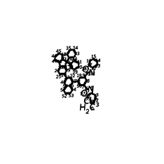 C=C/C=C\c1nc(-c2cc(-c3nc4ccccc4o3)cc(-c3cc(-c4ccc5c(c4)C(c4ccccc4)(c4ccccc4)c4ccccc4-5)cc4ccccc34)c2)oc1C